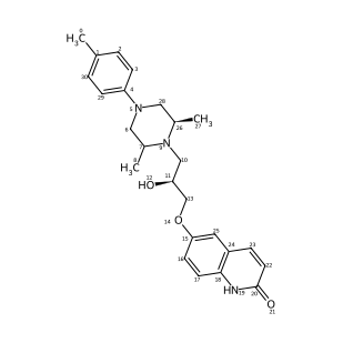 Cc1ccc(N2CC(C)N(C[C@H](O)COc3ccc4[nH]c(=O)ccc4c3)[C@H](C)C2)cc1